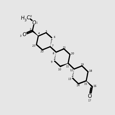 COC(=O)[C@H]1CC[C@H]([C@H]2CC[C@H]([C@H]3CC[C@H](C=O)CC3)CC2)CC1